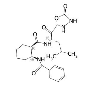 CC(C)C[C@H](NC(=O)[C@@H]1CCCC[C@@H]1NC(=O)c1ccccc1)C(=O)C1NNC(=O)O1